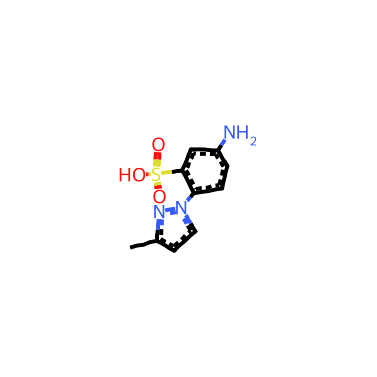 Cc1ccn(-c2ccc(N)cc2S(=O)(=O)O)n1